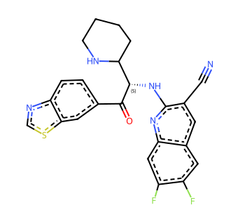 N#Cc1cc2cc(F)c(F)cc2nc1N[C@H](C(=O)c1ccc2ncsc2c1)C1CCCCN1